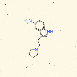 Nc1ccc2[nH]cc(CCN3CCCC3)c2c1